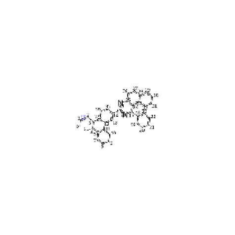 C/C=C\c1c(C)c2ccccc2c2cc(-c3nc(-c4ccccc4)c4c(ccc5ccccc54)n3)ccc12